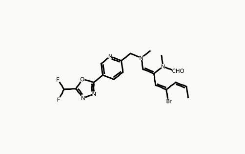 C\C=C/C(Br)=C\C(=C\N(C)Cc1ccc(-c2nnc(C(F)F)o2)cn1)N(C)C=O